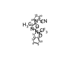 Cc1nc(N(Cc2ccccc2)C(=O)C(F)(F)F)oc1N1CCC[C@H]1C#N